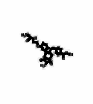 C=CC(=O)NCCOc1ccc2c(c1)c1c(n2Cc2ccc(C(=O)OC(C)(C)C)cc2)CN2CC1C(=O)N(C)C2=O